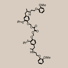 COc1ccccc1OCCNC(C)Cc1ccc(OCOC(=O)C(=O)OCOc2ccc(CC(C)NCCOc3ccccc3OC)cc2SC(C)C)c(SC(C)C)c1